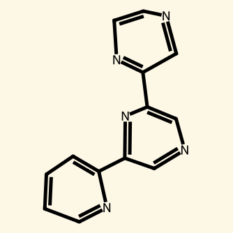 c1ccc(-c2cncc(-c3cnccn3)n2)nc1